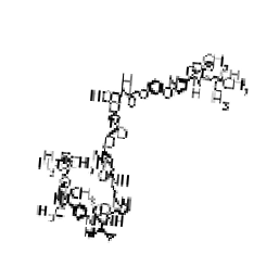 COC(=O)[C@H](CCC(C)(C)C)NC(=O)c1ccc(Oc2cccc(OCC(=O)NC(CO)COC3CN(C(=O)COCc4cn(CC(=O)NCCCn5nccc5C(=O)N[C@H](C(=O)Nc5ccc(-c6c(C)nn(COCC[Si](C)(C)C)c6C)cc5)C(C5CC5)C5CC5)nn4)C3)c2)nc1